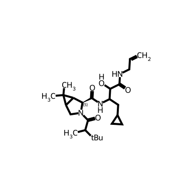 C=CCNC(=O)C(O)C(CC1CC1)NC(=O)[C@@H]1C2C(CN1C(=O)C(C)C(C)(C)C)C2(C)C